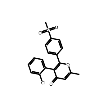 Cc1cc(=O)c(-c2ccccc2Cl)c(-c2ccc(S(C)(=O)=O)cc2)o1